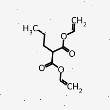 C=COC(=O)C(CCC)C(=O)OC=C